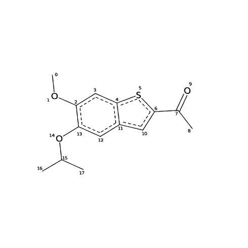 COc1cc2sc(C(C)=O)cc2cc1OC(C)C